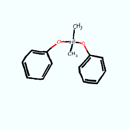 [CH3][Hf]([CH3])([O]c1ccccc1)[O]c1ccccc1